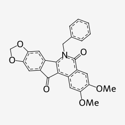 COc1cc2c3c(n(Cc4ccccc4)c(=O)c2cc1OC)-c1cc2c(cc1C3=O)OCO2